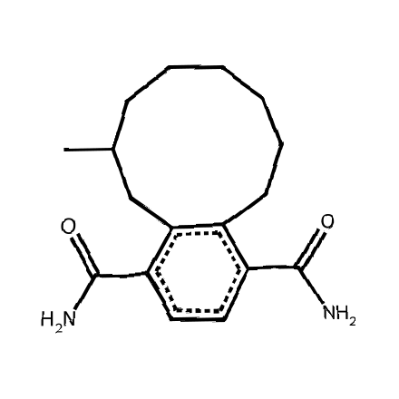 CC1CCCCCCc2c(C(N)=O)ccc(C(N)=O)c2C1